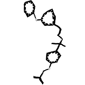 C=C(C)COc1ccc(C(C)(C)CCCc2cccc(Oc3ccccc3)c2)cc1